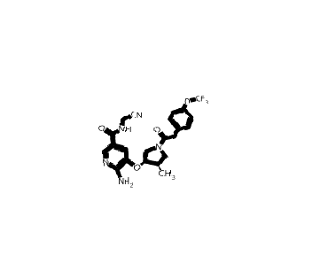 C[C@H]1CN(C(=O)Cc2ccc(OC(F)(F)F)cc2)C[C@@H]1Oc1cc(C(=O)NCC#N)cnc1N